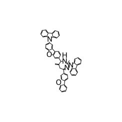 C=C1CC(c2ccc3c(c2)oc2ccccc23)=NC(C)(n2c3ccccc3c3ccccc32)NC1c1ccc2c(c1)oc1ccc(-n3c4ccccc4c4ccccc43)cc12